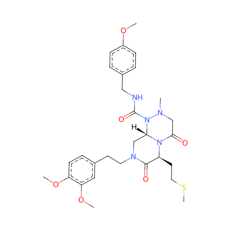 COc1ccc(CNC(=O)N2[C@H]3CN(CCc4ccc(OC)c(OC)c4)C(=O)[C@H](CCSC)N3C(=O)CN2C)cc1